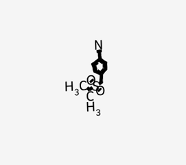 CC(C)S(=O)(=O)Cc1ccc(C#N)cc1